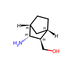 N[C@@H]1[C@@H]2CC[C@@H](C2)[C@H]1CO